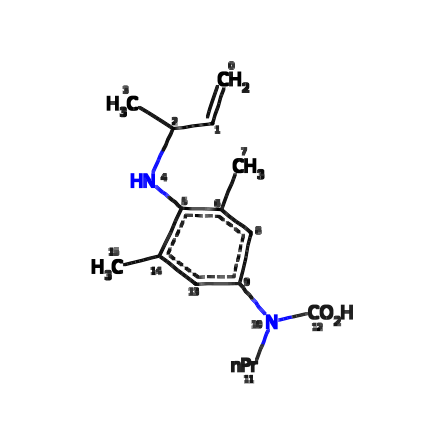 C=CC(C)Nc1c(C)cc(N(CCC)C(=O)O)cc1C